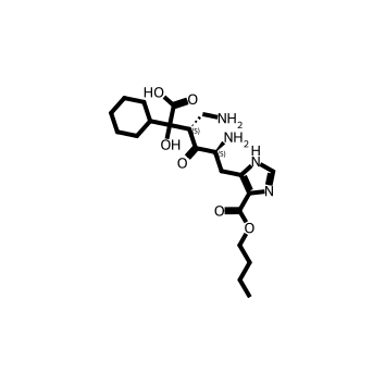 CCCCOC(=O)c1nc[nH]c1C[C@H](N)C(=O)[C@@H](CN)C(O)(C(=O)O)C1CCCCC1